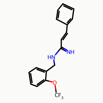 N=C(/C=C/c1ccccc1)NCc1ccccc1OC(F)(F)F